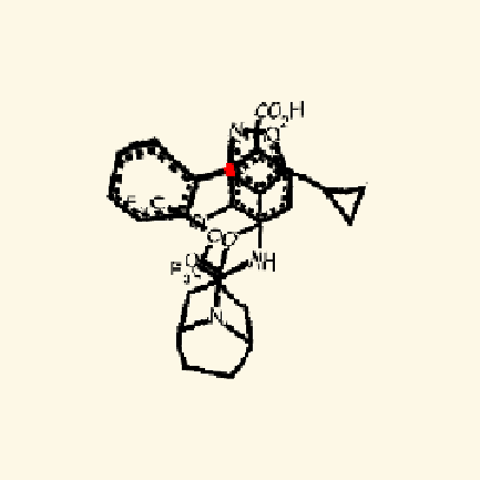 O=C(O)c1ccc(NC(=O)N2C3CCC2CC(OCc2c(-c4ccccc4OC(F)(F)F)noc2C2CC2)C3)c(OC(F)(F)F)c1